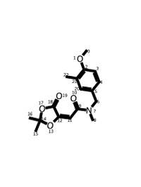 COc1ccc(CN(C)C(=O)C=C2OC(C)(C)OC2=O)cc1C